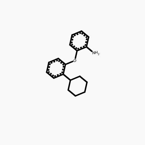 Nc1ccccc1Oc1ccccc1C1CCCCC1